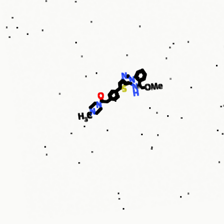 COC[C@@H](Nc1ncnc2cc(-c3ccc(CC(=O)N4CCN(C)CC4)cc3)sc12)c1ccccc1